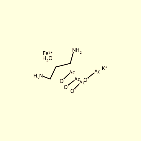 CC(=O)[O-].CC(=O)[O-].CC(=O)[O-].CC(=O)[O-].NCCCN.O.[Fe+3].[K+]